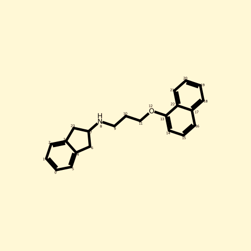 c1ccc2c(c1)CC(NCCCOc1cccc3ccccc13)C2